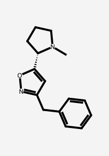 CN1CCC[C@H]1c1cc(Cc2ccccc2)no1